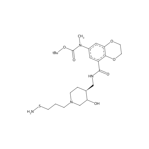 CN(C(=O)OC(C)(C)C)c1cc2c(c(C(=O)NC[C@@H]3CCN(CCCSN)CC3O)c1)OCCO2